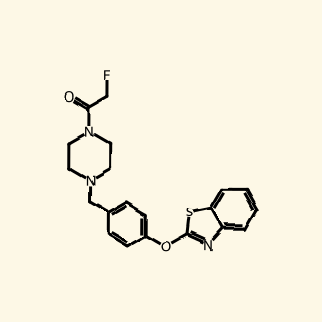 O=C(CF)N1CCN(Cc2ccc(Oc3nc4ccccc4s3)cc2)CC1